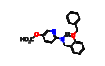 CCN(Cc1ccccc1OCc1ccccc1)c1ccc(OC(=O)O)cn1